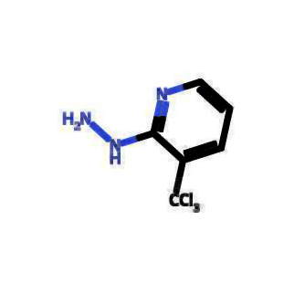 NNc1ncccc1C(Cl)(Cl)Cl